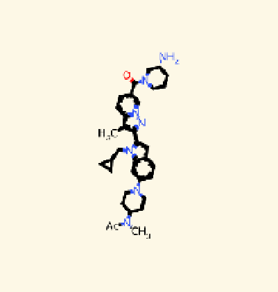 CC(=O)N(C)C1CCN(c2ccc3cc(-c4nn5cc(C(=O)N6CCC[C@@H](N)C6)ccc5c4C)n(CC4CC4)c3c2)CC1